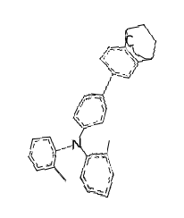 Cc1ccccc1N(c1ccc(-c2ccc3c(c2)C2CCCC3CC2)cc1)c1ccccc1C